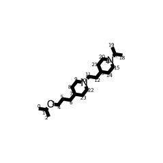 CC(C)OCCCC1CCN(CCC2CCN(C(C)C)CC2)CC1